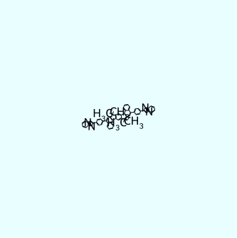 CC1(C)c2cc3c(cc2-c2c1cc(-c1ccc(-c4cn5ccccc5n4)cc1)c1ccccc21)C(C)(C)c1cc(-c2ccc(-c4cn5ccccc5n4)cc2)c2ccccc2c1-3